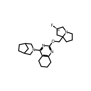 F[C@H]1CN2CCCC2(COc2nc3c(c(N4CC5CCC(C5)C4)n2)CCCC3)C1